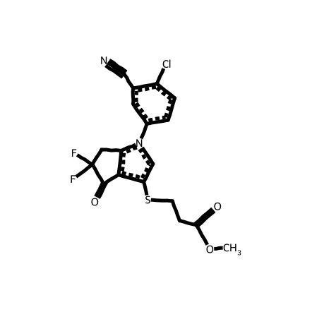 COC(=O)CCSc1cn(-c2ccc(Cl)c(C#N)c2)c2c1C(=O)C(F)(F)C2